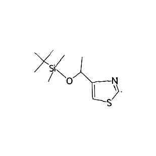 CC(O[Si](C)(C)C(C)(C)C)c1cs[c]n1